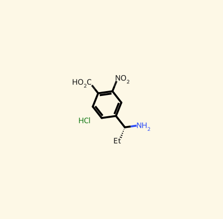 CC[C@@H](N)c1ccc(C(=O)O)c([N+](=O)[O-])c1.Cl